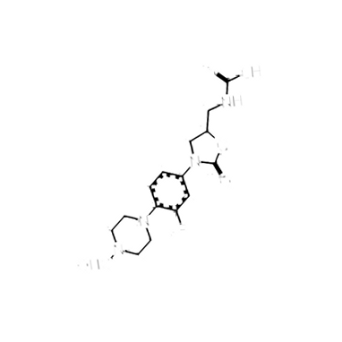 CC(=S)NCC1CN(c2ccc(N3CCN(C=O)CC3)c(F)c2)C(=O)O1